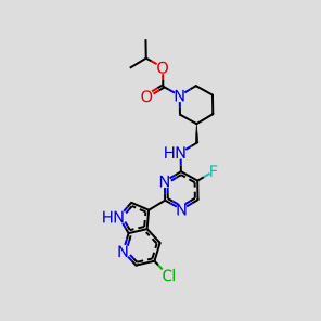 CC(C)OC(=O)N1CCC[C@@H](CNc2nc(-c3c[nH]c4ncc(Cl)cc34)ncc2F)C1